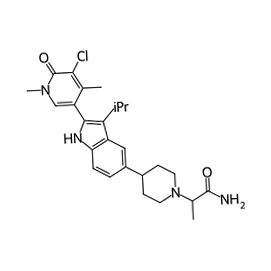 Cc1c(-c2[nH]c3ccc(C4CCN(C(C)C(N)=O)CC4)cc3c2C(C)C)cn(C)c(=O)c1Cl